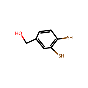 OCc1ccc(S)c(S)c1